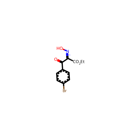 CCOC(=O)/C(=N/O)C(=O)c1ccc(Br)cc1